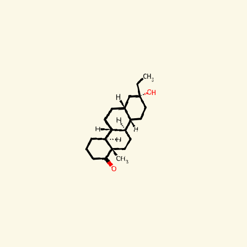 CC[C@@]1(O)CC[C@H]2[C@H](CC[C@@H]3[C@@H]2CC[C@]2(C)C(=O)CCC[C@@H]32)C1